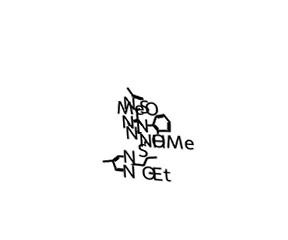 CCOC(c1ncc(C)cn1)C(C)SNc1nnc(-c2nc(C)cs2)n1-c1c(OC)cccc1OC